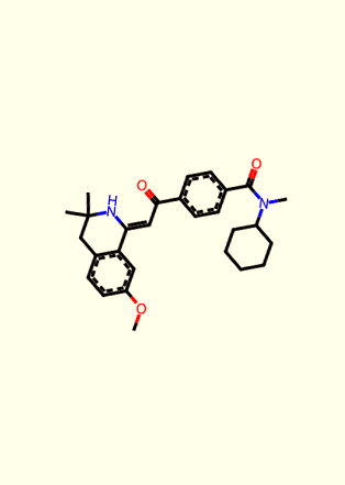 COc1ccc2c(c1)/C(=C/C(=O)c1ccc(C(=O)N(C)C3CCCCC3)cc1)NC(C)(C)C2